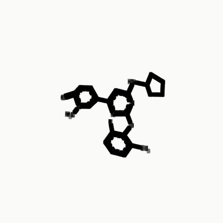 Cc1cccc(F)c1Oc1nc(NC2CCCC2)cc(-c2ccc(=O)n(C)c2)n1